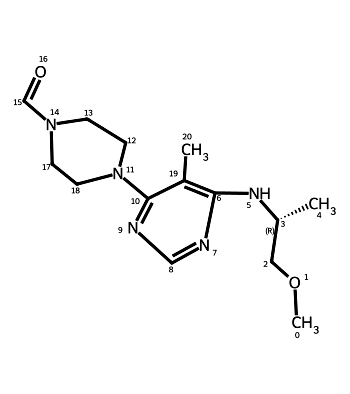 COC[C@@H](C)Nc1ncnc(N2CCN(C=O)CC2)c1C